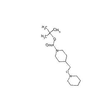 CC(C)(C)OC(=O)N1CCC(CON2CCCCC2)CC1